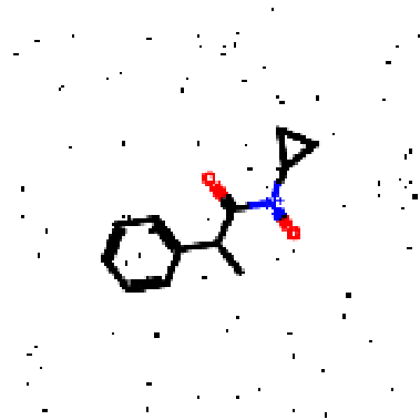 CC(C(=O)[N+](=O)C1CC1)c1ccccc1